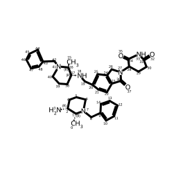 C[C@@H]1[C@H](N)CCCN1Cc1ccccc1.C[C@@H]1[C@H](NCc2ccc3c(c2)CN(C2CCC(=O)NC2=O)C3=O)CCCN1Cc1ccccc1